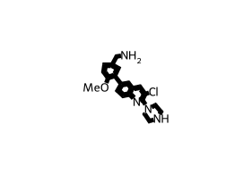 COc1ccc(CN)cc1-c1ccc2nc(N3CCNCC3)c(Cl)cc2c1